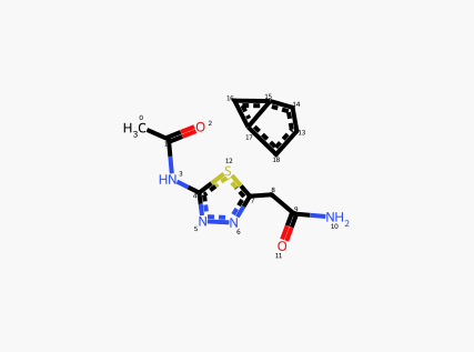 CC(=O)Nc1nnc(CC(N)=O)s1.c1cc2cc-2c1